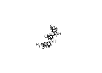 COc1cnc2[nH]cc(-c3cc(Cl)nc(N[C@H]4CC[C@H](NS(C)(=O)=O)CC4)c3)c2c1